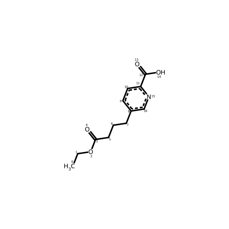 CCOC(=O)CCCc1ccc(C(=O)O)nc1